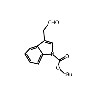 CC(C)(C)OC(=O)n1cc(CC=O)c2ccccc21